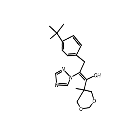 CC1(C(O)=C(Cc2ccc(C(C)(C)C)cc2)n2cncn2)COCOC1